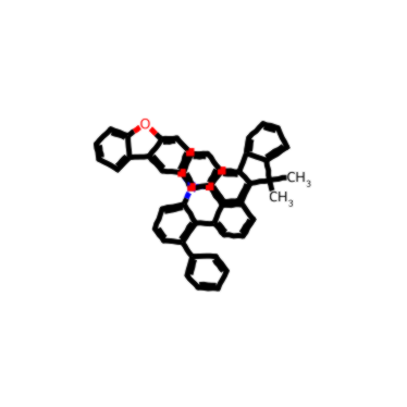 CC1(C)c2ccccc2-c2cc(N(c3ccc4oc5ccccc5c4c3)c3cccc(-c4ccccc4)c3-c3ccccc3-c3ccccc3)ccc21